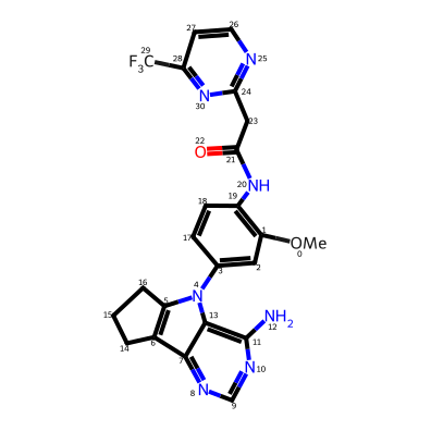 COc1cc(-n2c3c(c4ncnc(N)c42)CCC3)ccc1NC(=O)Cc1nccc(C(F)(F)F)n1